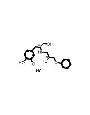 Cl.OC[C@H](Cc1ccc(O)c(Cl)c1)NC[C@H](O)COc1ccccc1